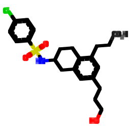 O=C(O)CCc1cc(CCCO)cc2c1CCC(NS(=O)(=O)c1ccc(Cl)cc1)C2